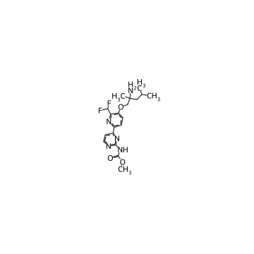 COC(=O)Nc1nccc(-c2ccc(OCC(C)(N)CC(C)C)c(C(F)F)n2)n1